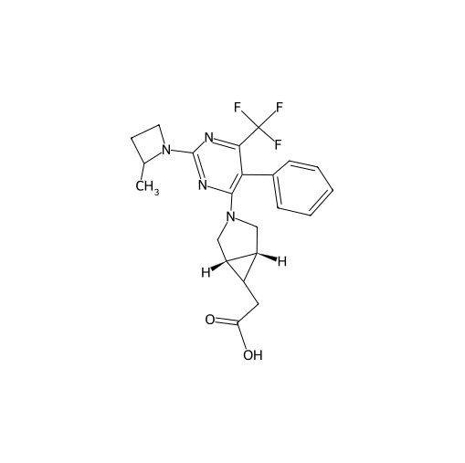 CC1CCN1c1nc(N2C[C@@H]3C(CC(=O)O)[C@@H]3C2)c(-c2ccccc2)c(C(F)(F)F)n1